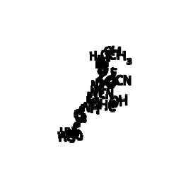 CC(C)(O)Cn1nnc2cc(-c3cnc(N4CCC(NCc5ccc(/C=C/C(=O)NO)cc5)CC4)c(C#N)c3-c3ccc(C#N)c(F)c3)ccc21.O=CO